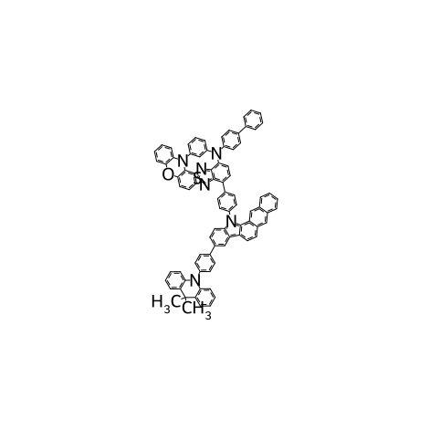 CC1(C)c2ccccc2N(c2ccc(-c3ccc4c(c3)c3ccc5cc6ccccc6cc5c3n4-c3ccc(-c4ccc(N(c5ccc(-c6ccccc6)cc5)c5cccc(N6c7ccccc7Oc7ccccc76)c5)c5nsnc45)cc3)cc2)c2ccccc21